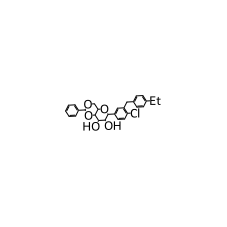 CCc1ccc(Cc2cc(C3OC4COC(c5ccccc5)OC4C(O)C3O)ccc2Cl)cc1